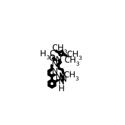 CCCCc1cn(C2C(C(C)C)CC2C(C)C)c(=O)n1Cc1ccc(-c2ccccc2-c2nnn[nH]2)cn1